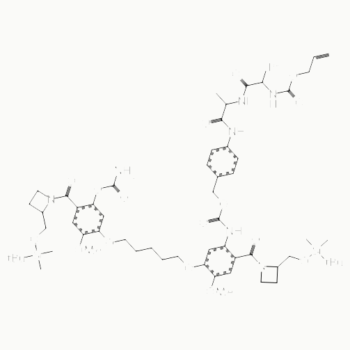 C=CCOC(=O)NC(C(=O)NC(C)C(=O)Nc1ccc(COC(=O)Nc2cc(OCCCCCOc3cc(OC(N)=O)c(C(=O)N4CCC4CO[Si](C)(C)C(C)(C)C)cc3OC)c(OC)cc2C(=O)N2CCC2CO[Si](C)(C)C(C)(C)C)cc1)C(C)C